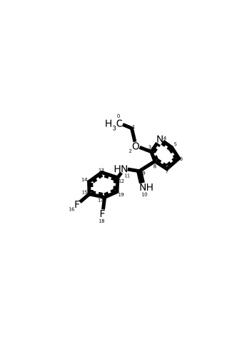 CCOc1ncccc1C(=N)Nc1ccc(F)c(F)c1